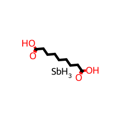 O=C(O)CCCCCCCC(=O)O.[SbH3]